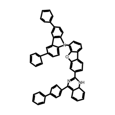 C1=CC2=C(c3ccc(-c4ccccc4)cc3)N=C(c3ccc4c(c3)oc3c(-n5c6ccc(-c7ccccc7)cc6c6cc(-c7ccccc7)ccc65)cccc34)NC2C=C1